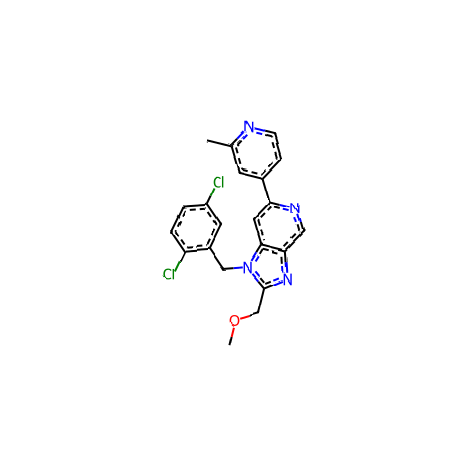 COCc1nc2cnc(-c3ccnc(C)c3)cc2n1Cc1cc(Cl)ccc1Cl